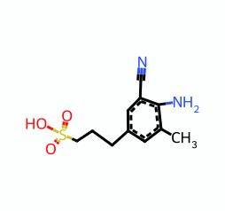 Cc1cc(CCCS(=O)(=O)O)cc(C#N)c1N